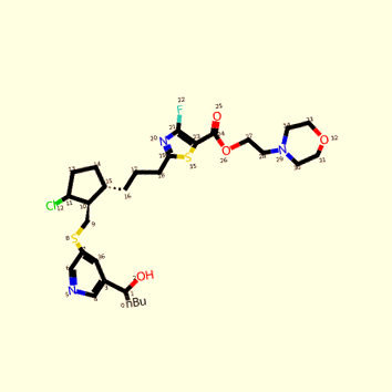 CCCCC(O)c1cncc(SC[C@H]2C(Cl)CC[C@@H]2CCCc2nc(F)c(C(=O)OCCN3CCOCC3)s2)c1